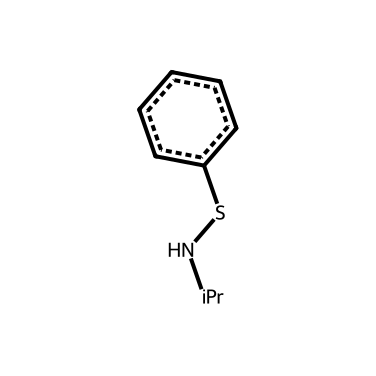 CC(C)NSc1ccccc1